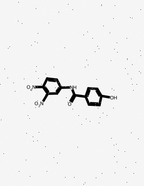 O=C(Nc1ccc([N+](=O)[O-])c([N+](=O)[O-])c1)c1ccc(O)cc1